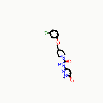 Cn1nc(NC(=O)N2CCC(COc3cccc(F)c3)CC2)ccc1=O